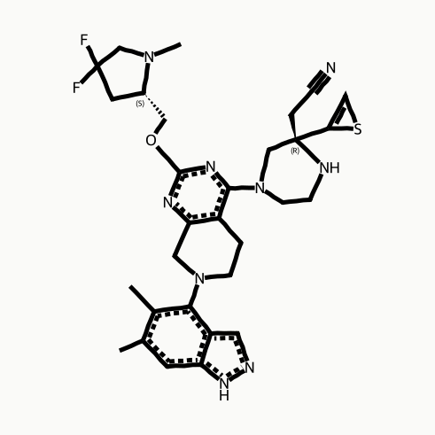 Cc1cc2[nH]ncc2c(N2CCc3c(nc(OC[C@@H]4CC(F)(F)CN4C)nc3N3CCN[C@@](CC#N)(C4=CS4)C3)C2)c1C